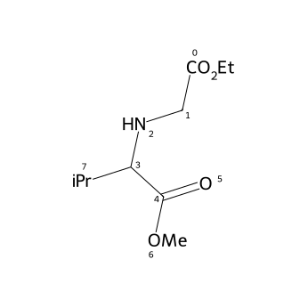 CCOC(=O)CNC(C(=O)OC)C(C)C